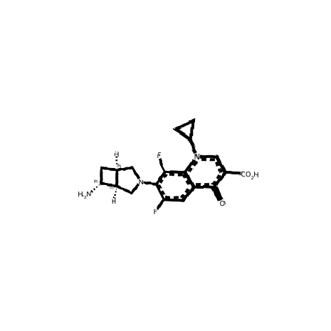 N[C@@H]1C[C@H]2CN(c3c(F)cc4c(=O)c(C(=O)O)cn(C5CC5)c4c3F)C[C@H]21